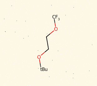 CC(C)(C)OCCOC(F)(F)F